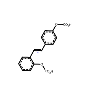 O=C(O)Oc1ccc(/C=C/c2ccccc2OC(=O)O)cc1